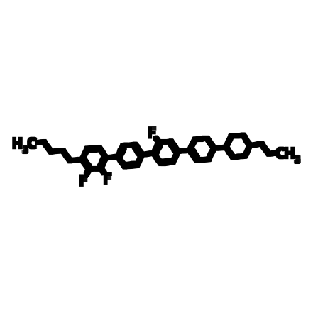 CCCCCc1ccc(-c2ccc(-c3ccc(C4=CCC(C5CCC(CCC)CC5)CC4)cc3F)cc2)c(F)c1F